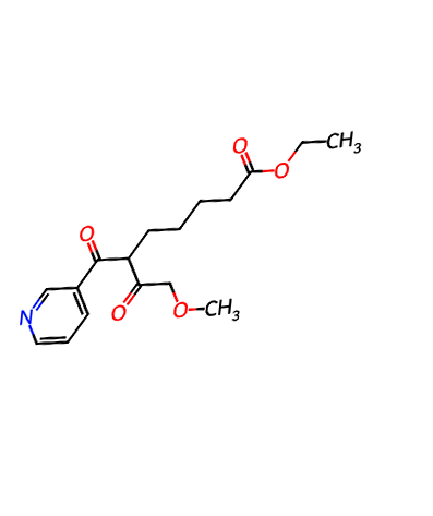 CCOC(=O)CCCCC(C(=O)COC)C(=O)c1cccnc1